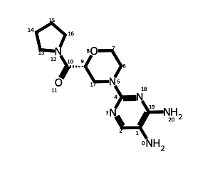 Nc1cnc(N2CCO[C@@H](C(=O)N3CCCC3)C2)nc1N